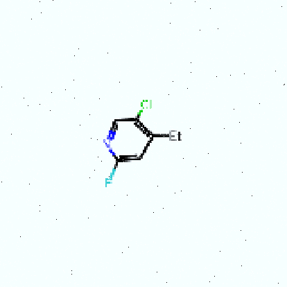 C[CH]c1cc(F)ncc1Cl